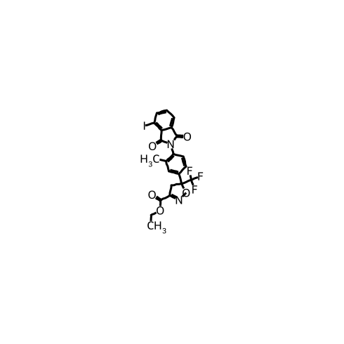 CCOC(=O)C1=NOC(c2ccc(N3C(=O)c4cccc(I)c4C3=O)c(C)c2)(C(F)(F)F)C1